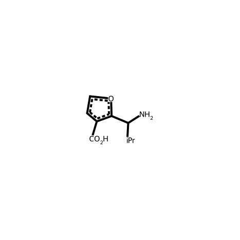 CC(C)C(N)c1occc1C(=O)O